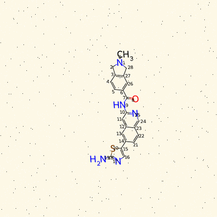 CN1Cc2ccc(C(=O)Nc3cc4cc(-c5cnc(N)s5)ccc4cn3)cc2C1